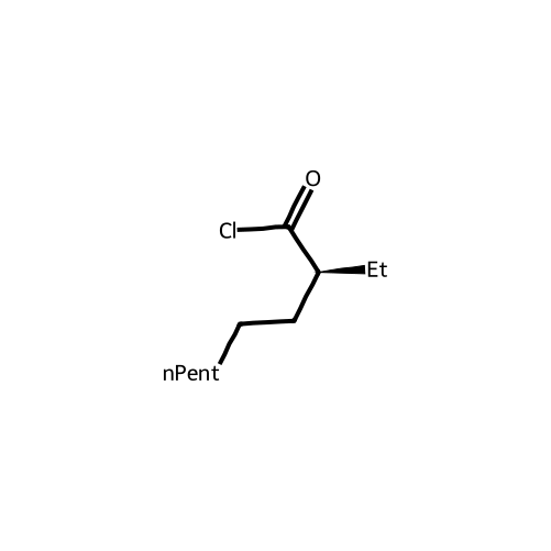 CCCCCCC[C@H](CC)C(=O)Cl